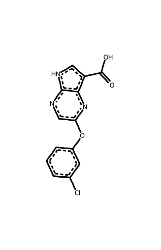 O=C(O)c1c[nH]c2ncc(Oc3cccc(Cl)c3)nc12